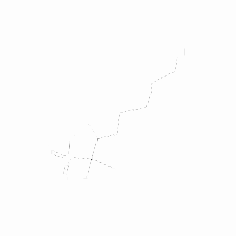 O=S(=O)([O-])C(F)(F)C(F)CCCCCC(F)(F)F.[Li+]